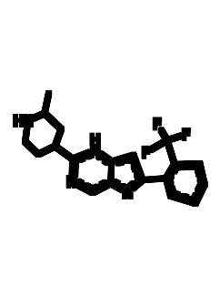 CC1CC(c2ncc3nc(-c4ccccc4C(F)(F)F)cc-3[nH]2)CCN1